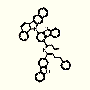 CCC/C(=N\C(=C\CCc1ccccc1)c1ccc2c(c1)oc1ccccc12)c1ccc(N2c3cc4ccccc4cc3C3C=Cc4ccccc4C32)c2oc3ccccc3c12